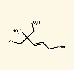 CCCCCCCCCCC=CC(CC(=O)O)(CC(C)C)C(=O)O